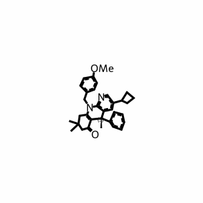 COc1ccc(CN2C3=C(C(=O)CC(C)(C)C3)[C@@](C)(c3ccccc3)c3cc(C4CCC4)cnc32)cc1